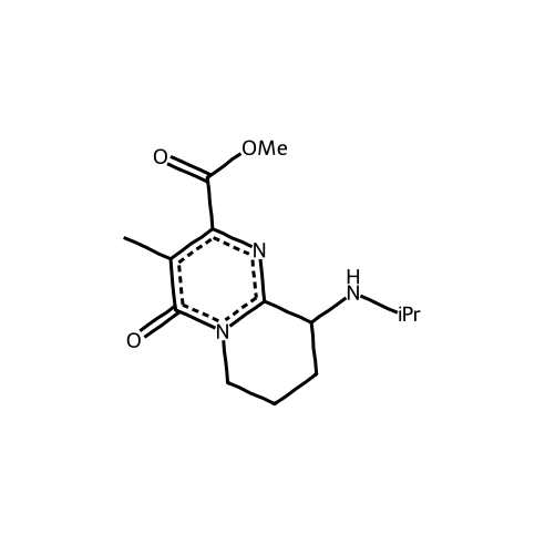 COC(=O)c1nc2n(c(=O)c1C)CCCC2NC(C)C